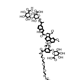 COc1ccc2c(OS(=O)(=O)Oc3cc(C(=O)N(C)CCOCCOCCOCCN=[N+]=[N-])ccc3O[C@@H]3O[C@H](C(=O)O)[C@@H](O)[C@H](O)[C@H]3O)cc3c(c2c1)[C@H](CCl)CN3C(=O)c1cc2cc(/C(C)=N/O[C@@H]3O[C@H](C(=O)O)[C@@H](O)[C@H](OC4OC(C(=O)O)[C@@H](O)[C@H](O)[C@H]4O)[C@H]3O)ccc2[nH]1